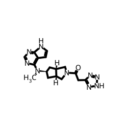 CN(c1ncnc2[nH]ccc12)[C@H]1C[C@@H]2CN(C(=O)Cc3nn[nH]n3)C[C@@H]2C1